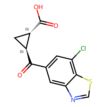 O=C(O)[C@H]1C[C@@H]1C(=O)c1cc(Cl)c2scnc2c1